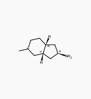 CN1CC[C@@H]2C[C@@H](N)C[C@@H]2C1